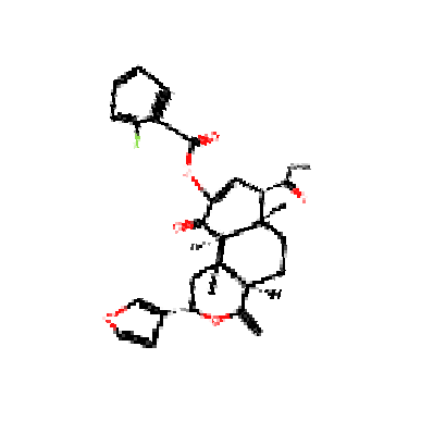 C=C1O[C@H](c2ccoc2)C[C@]2(C)[C@H]3C(=O)C(OC(=O)c4ccccc4F)=C[C@@H](C(=O)OC)[C@]3(C)CC[C@@H]12